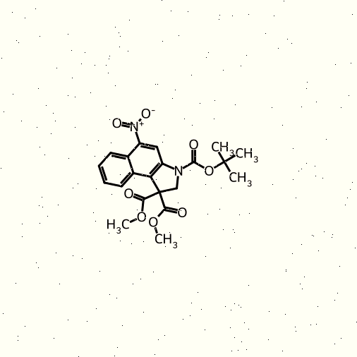 COC(=O)C1(C(=O)OC)CN(C(=O)OC(C)(C)C)c2cc([N+](=O)[O-])c3ccccc3c21